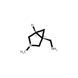 CN1C[C@@H]2C[C@]2(CN)C1